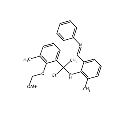 CCC(C)(Pc1c(C)cccc1/C=N/c1ccccc1)c1cccc(C)c1OCOC